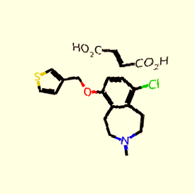 CN1CCc2c(Cl)ccc(OCc3ccsc3)c2CC1.O=C(O)C=CC(=O)O